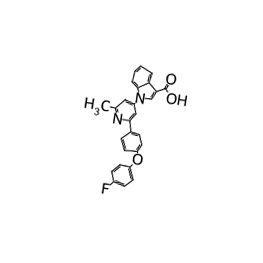 Cc1cc(-n2cc(C(=O)O)c3ccccc32)cc(-c2ccc(Oc3ccc(F)cc3)cc2)n1